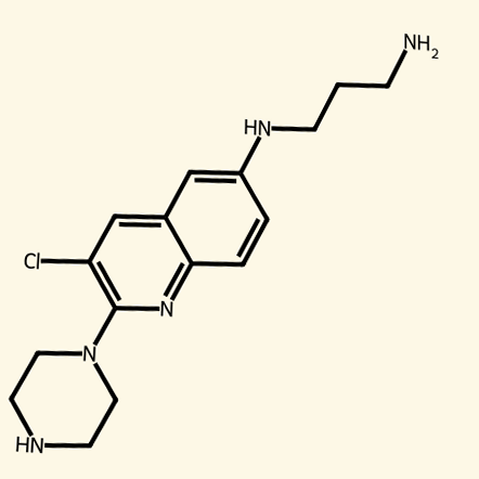 NCCCNc1ccc2nc(N3CCNCC3)c(Cl)cc2c1